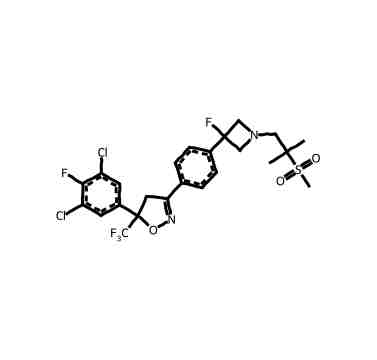 CC(C)(CN1CC(F)(c2ccc(C3=NOC(c4cc(Cl)c(F)c(Cl)c4)(C(F)(F)F)C3)cc2)C1)S(C)(=O)=O